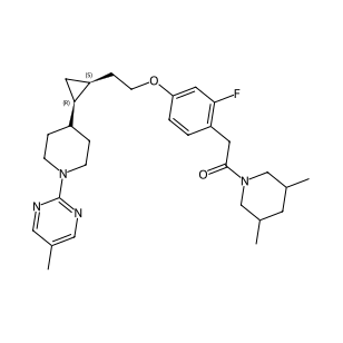 Cc1cnc(N2CCC([C@H]3C[C@H]3CCOc3ccc(CC(=O)N4CC(C)CC(C)C4)c(F)c3)CC2)nc1